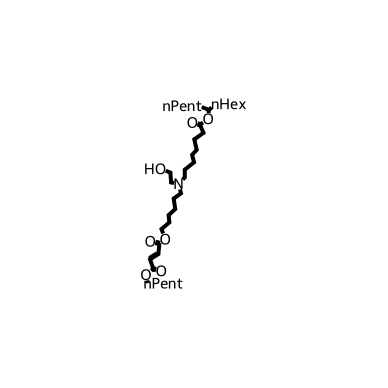 CCCCCCC(CCCCC)OC(=O)CCCCCCCN(CCO)CCCCCCOC(=O)/C=C/C(=O)OCCCCC